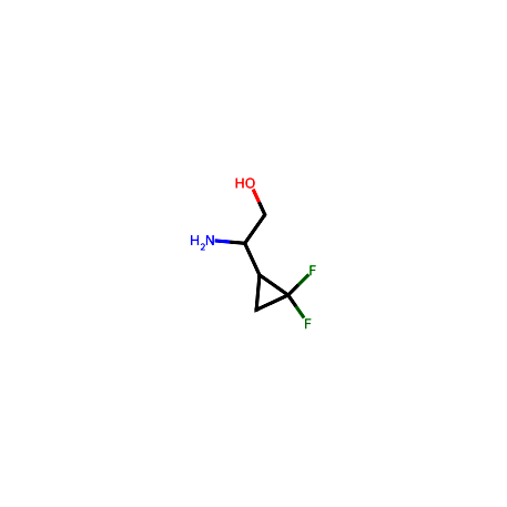 NC(CO)C1CC1(F)F